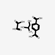 CC(O)CO.O=C(O)C(=O)O.O=C(O)c1ccc(C(=O)O)cc1